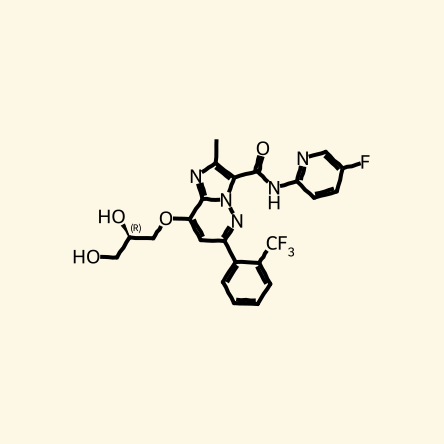 Cc1nc2c(OC[C@H](O)CO)cc(-c3ccccc3C(F)(F)F)nn2c1C(=O)Nc1ccc(F)cn1